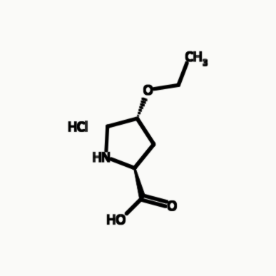 CCO[C@H]1CN[C@H](C(=O)O)C1.Cl